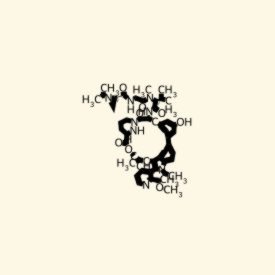 CCn1c(-c2cccnc2[C@H](C)OC)c2c3cc(ccc31)-c1cc(O)cc(c1)C[C@H](NC(=O)[C@H](C(C)C)N(C)C(=O)CNC(=O)[C@@H]1CN1C(C)C)C(=O)N1CCC[C@H](N1)C(=O)OCC(C)(C)C2